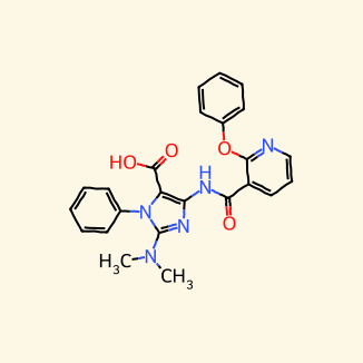 CN(C)c1nc(NC(=O)c2cccnc2Oc2ccccc2)c(C(=O)O)n1-c1ccccc1